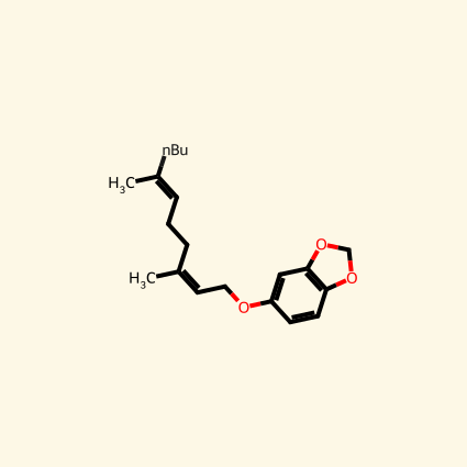 CCCCC(C)=CCCC(C)=CCOc1ccc2c(c1)OCO2